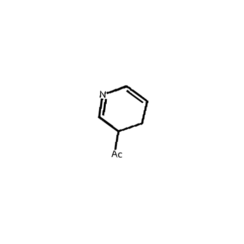 CC(=O)C1C=NC=CC1